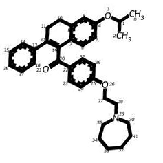 CC(C)Oc1ccc2c(c1)CCC(c1ccccc1)=C2C(=O)c1ccc(OCCN2CCCCCC2)cc1